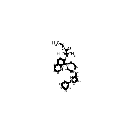 CCOC(=O)C(C)(C)Oc1ccc2cccnc2c1N1CCCN(Cc2ccn(-c3ccccc3)n2)CC1